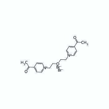 CC(=O)c1cc[n+](CCOCC[n+]2ccc(C(C)=O)cc2)cc1.[Br-].[Br-]